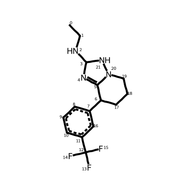 CCNC1N=C2C(c3cccc(C(F)(F)F)c3)CCCN2N1